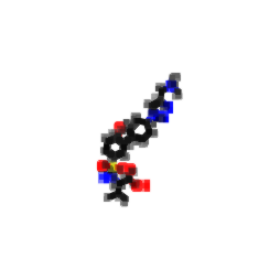 CC(C)[C@@H](NS(=O)(=O)c1ccc2oc3c(c2c1)=CCC(n1cc(CN(C)C)nn1)C=3)C(=O)O